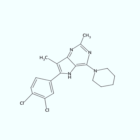 Cc1nc(N2CCCCC2)c2[nH]c(-c3ccc(Cl)c(Cl)c3)c(C)c2n1